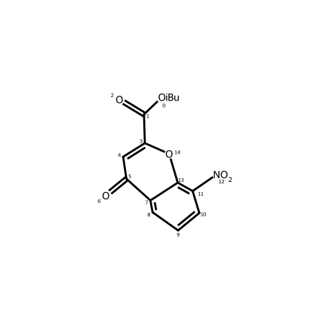 CC(C)COC(=O)c1cc(=O)c2cccc([N+](=O)[O-])c2o1